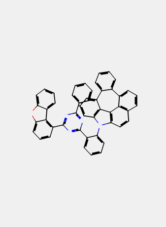 c1ccc(-c2nc(-c3ccccc3-n3c4cccc5c4c4c6c(cccc6ccc43)-c3ccccc3-5)nc(-c3cccc4oc5ccccc5c34)n2)cc1